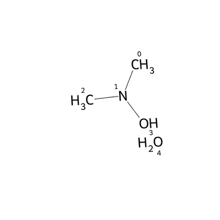 CN(C)O.O